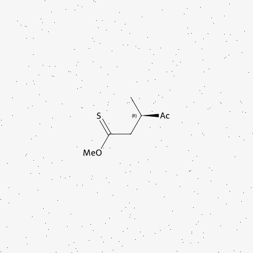 COC(=S)C[C@@H](C)C(C)=O